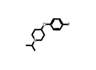 CC(C)N1CCC(Oc2ccc(F)cc2)CC1